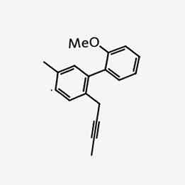 CC#CCc1c[c]c(C)cc1-c1ccccc1OC